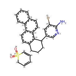 Nc1ncc(C2CCCc3ccc4c(ccc5ccccc54)c32)cc1Br.O=S1(=O)C=CC=CC1